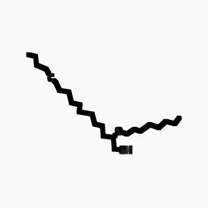 CCCCCCCCCCCCCCCC(CO)OCCCCCCCC